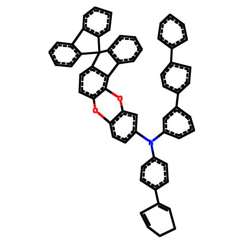 C1=CC(c2ccc(N(c3cccc(-c4ccc(-c5ccccc5)cc4)c3)c3ccc4c(c3)Oc3c(ccc5c3-c3ccccc3C53c5ccccc5-c5ccccc53)O4)cc2)=CCC1